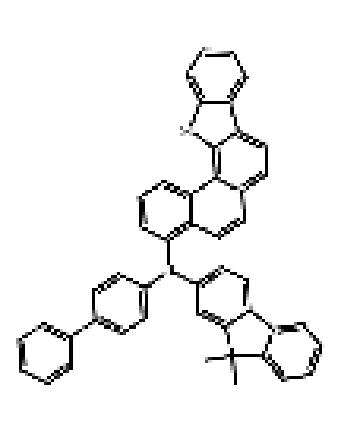 CC1(C)c2ccccc2-c2ccc(N(c3ccc(-c4ccccc4)cc3)c3cccc4c3ccc3ccc5c6ccccc6[se]c5c34)cc21